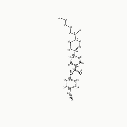 CCCCCC(C)C1CC=C(c2ccc(C(=O)Oc3ccc(C#N)cc3)cc2)CC1